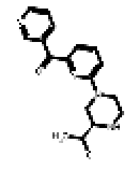 CC(C)[C@H]1CN(c2cccc(C(=O)c3cccnc3)n2)CCN1